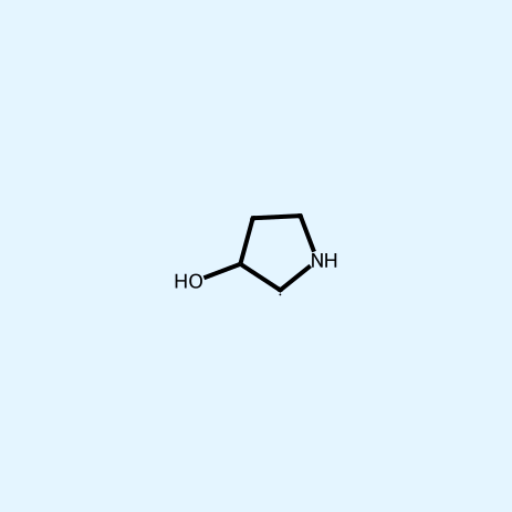 OC1[CH]NCC1